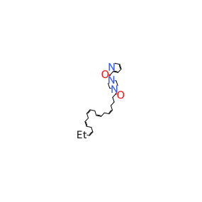 CC/C=C\C/C=C\C/C=C\C/C=C\C/C=C\CCCC(=O)N1CCN(C(=O)c2ccccn2)CC1